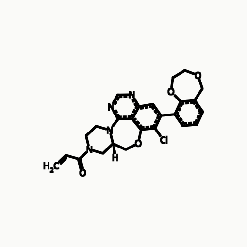 C=CC(=O)N1CCN2c3ncnc4cc(-c5cccc6c5OCCOC6)c(Cl)c(c34)OC[C@@H]2C1